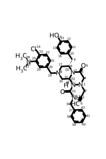 C#CCN1CC(=O)N2[C@@H](Cc3ccc(O)cc3)CN(Cc3ccc(Cl)c(N(C)C)c3)C[C@@H]2N1C(=O)NCc1ccccc1